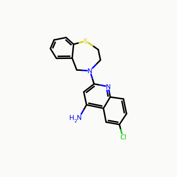 Nc1cc(N2CCSc3ccccc3C2)nc2ccc(Cl)cc12